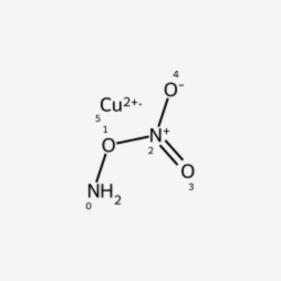 NO[N+](=O)[O-].[Cu+2]